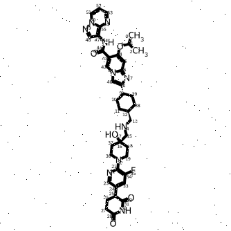 CC(C)Oc1cc2nc([C@H]3CC[C@H](CNCC4(O)CCN(c5ncc(C6CCC(=O)NC6=O)cc5F)CC4)CC3)cn2cc1C(=O)Nc1cnn2cccnc12